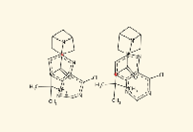 CC(C)(C)OC(=O)N1CC2CC(C1)N2c1ccc2ncnc(Cl)c2n1.CC(C)(C)OC(=O)N1CC2CC(C1)N2c1ccc2ncnc(Cl)c2n1